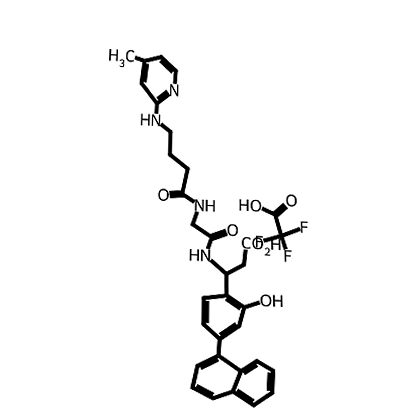 Cc1ccnc(NCCCC(=O)NCC(=O)NC(CC(=O)O)c2ccc(-c3cccc4ccccc34)cc2O)c1.O=C(O)C(F)(F)F